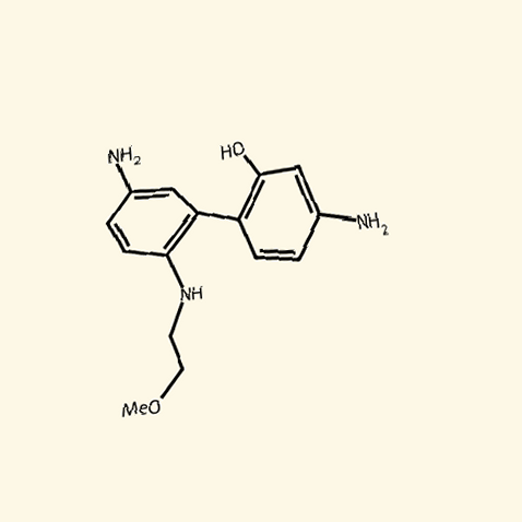 COCCNc1ccc(N)cc1-c1ccc(N)cc1O